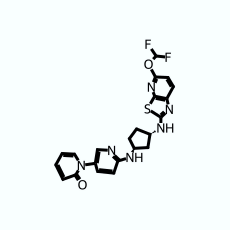 O=c1ccccn1-c1ccc(N[C@H]2CC[C@H](Nc3nc4ccc(OC(F)F)nc4s3)C2)nc1